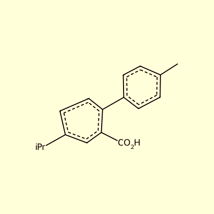 Cc1ccc(-c2ccc(C(C)C)cc2C(=O)O)cc1